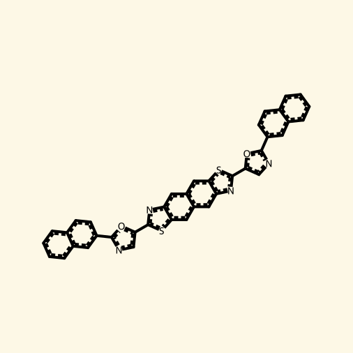 c1ccc2cc(-c3ncc(-c4nc5cc6cc7sc(-c8cnc(-c9ccc%10ccccc%10c9)o8)nc7cc6cc5s4)o3)ccc2c1